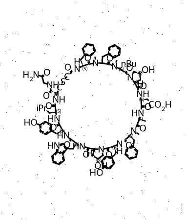 CCCC[C@H]1C(=O)N2C[C@@H](O)C[C@@H]2C(=O)N[C@@H](CC(=O)O)C(=O)N[C@@H](C)C(=O)N(C)[C@@H](Cc2ccccc2)C(=O)N[C@@H](Cc2ccc(O)cc2)C(=O)N2C[C@@H](O)C[C@@H]2C(=O)N[C@@H](Cc2c[nH]c3ccccc23)C(=O)N[C@@H](Cc2ccc(O)cc2)C(=O)N[C@@H](CC(C)C)C(=O)N[C@H](C(=O)NCC(N)=O)CSCC(=O)N[C@@H](Cc2ccccc2)C(=O)N(C)C(Cc2ccccc2)C(=O)N1C